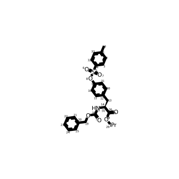 Cc1ccc(S(=O)(=O)Oc2ccc(C[C@H](NC(=O)OCc3ccccc3)C(=O)OC(C)C)cc2)cc1